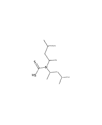 CC(C)CC(C)N(C(=S)S)C(C)CC(C)C